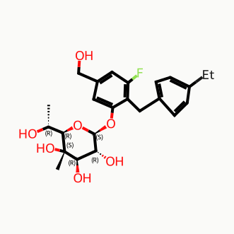 CCc1ccc(Cc2c(F)cc(CO)cc2O[C@@H]2O[C@H]([C@@H](C)O)[C@@](C)(O)[C@H](O)[C@H]2O)cc1